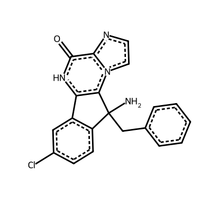 NC1(Cc2ccccc2)c2ccc(Cl)cc2-c2[nH]c(=O)c3nccn3c21